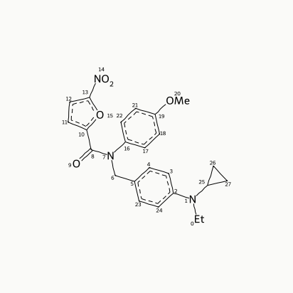 CCN(c1ccc(CN(C(=O)c2ccc([N+](=O)[O-])o2)c2ccc(OC)cc2)cc1)C1CC1